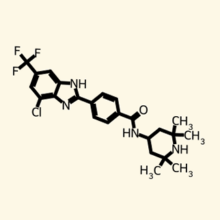 CC1(C)CC(NC(=O)c2ccc(-c3nc4c(Cl)cc(C(F)(F)F)cc4[nH]3)cc2)CC(C)(C)N1